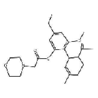 C=C(C)C1CCC(C)=CC1c1c(OC)cc(CC)cc1OC(=O)CN1CCOCC1